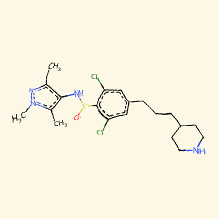 Cc1nn(C)c(C)c1N[S+]([O-])c1c(Cl)cc(CCCC2CCNCC2)cc1Cl